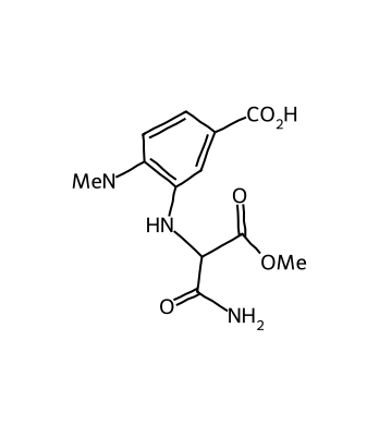 CNc1ccc(C(=O)O)cc1NC(C(N)=O)C(=O)OC